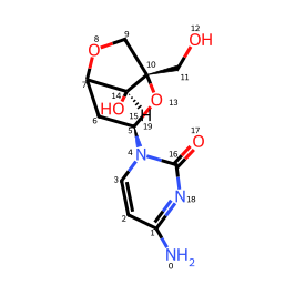 Nc1ccn([C@H]2CC3OC[C@](CO)(O2)[C@H]3O)c(=O)n1